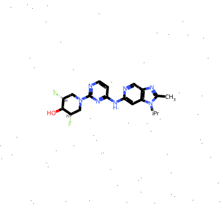 Cc1nc2cnc(Nc3ccnc(N4C[C@@H](F)C(O)[C@@H](F)C4)n3)cc2n1C(C)C